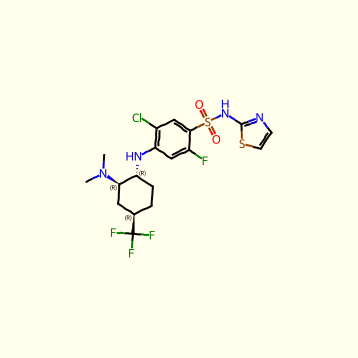 CN(C)[C@@H]1C[C@H](C(F)(F)F)CC[C@H]1Nc1cc(F)c(S(=O)(=O)Nc2nccs2)cc1Cl